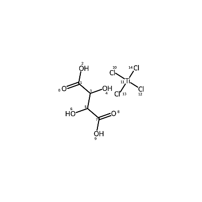 O=C(O)C(O)C(O)C(=O)O.[Cl][Ti]([Cl])([Cl])[Cl]